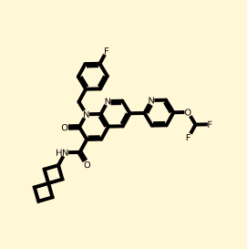 O=C(NC1CC2(CCC2)C1)c1cc2cc(-c3ccc(OC(F)F)cn3)cnc2n(Cc2ccc(F)cc2)c1=O